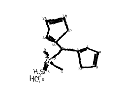 Cl.[CH3][Zr]([CH3])(=[SiH2])[CH](C1=CC=CC1)C1=CC=CC1